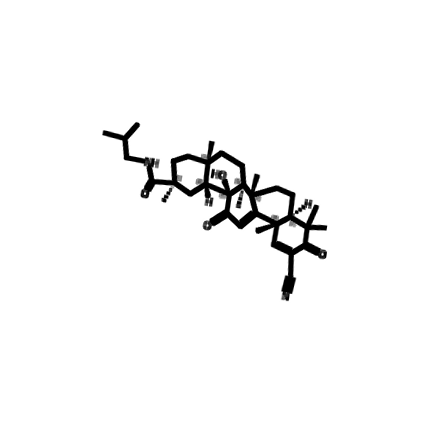 CC(C)CNC(=O)[C@@]1(C)CC[C@]2(C)CC[C@@]3(C)[C@]4(C)CC[C@H]5C(C)(C)C(=O)C(C#N)=C[C@]5(C)C4=CC(=O)[C@]3(O)[C@@H]2C1